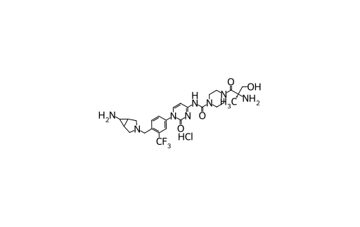 C[C@](N)(CO)C(=O)N1CCN(C(=O)Nc2ccn(-c3ccc(CN4CC5C(N)C5C4)c(C(F)(F)F)c3)c(=O)n2)CC1.Cl